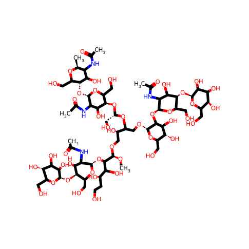 CO[C@H](OC[C@H](O)C(CO[C@H]1OC(CO)[C@@H](O)C(O)C1O[C@@H]1OC(CO)[C@@H](O[C@@H]2OC(CO)[C@H](O)C(O)C2O)C(O)C1NC(C)=O)O[C@H](CO)O[C@@H]1C(CO)O[C@@H](O[C@@H]2C(CO)O[C@@H](C)C(NC(C)=O)C2O)C(NC(C)=O)C1O)C(O[C@@H]1OC(CO)[C@@H](O[C@@H]2OC(CO)[C@H](O)C(O)C2O)C(O)C1NC(C)=O)C(O)[C@H](O)CCO